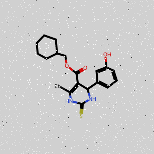 CCC1=C(C(=O)OCC2CCCCC2)C(c2cccc(O)c2)NC(=S)N1